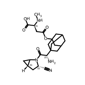 CN[C@@H](CC(=O)OC12CC3CC(C1)CC([C@H](N)C(=O)N1C4C[C@H]4C[C@H]1C#N)(C3)C2)C(=O)O